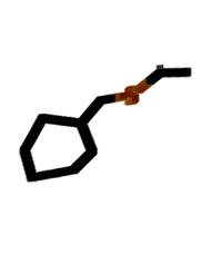 C[CH]SCC1CCCCC1